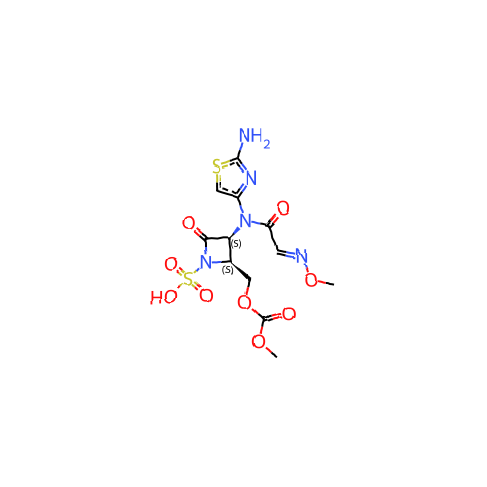 CON=CC(=O)N(c1csc(N)n1)[C@@H]1C(=O)N(S(=O)(=O)O)[C@@H]1COC(=O)OC